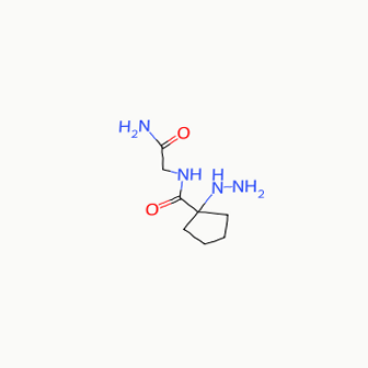 NNC1(C(=O)NCC(N)=O)CCCC1